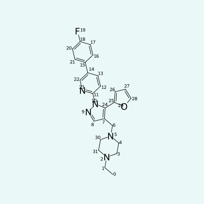 CCN1CCN(Cc2cnn(-c3ccc(-c4ccc(F)cc4)cn3)c2-c2ccco2)CC1